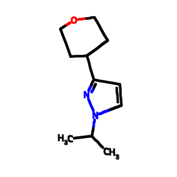 CC(C)n1ccc(C2CCOCC2)n1